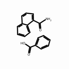 NC(=O)c1cccc2ccccc12.O=C(O)c1ccccc1